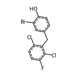 Oc1ccc(Cc2c(Cl)ccc(F)c2Cl)[c]c1Br